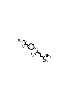 CC(C)(C)OC(=O)N1CCC(O/C(N)=C/C=C(\N)C(F)(F)F)CC1